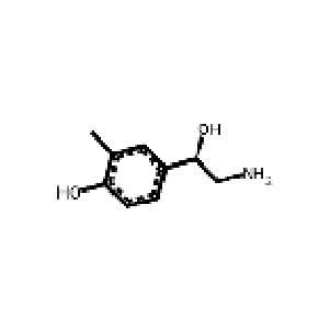 Cc1cc([C@@H](O)CN)ccc1O